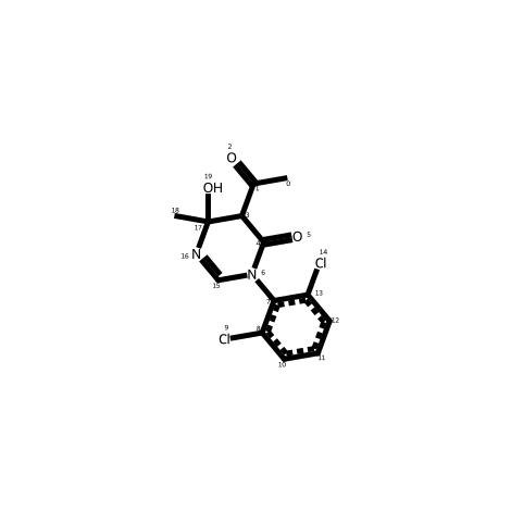 CC(=O)C1C(=O)N(c2c(Cl)cccc2Cl)C=NC1(C)O